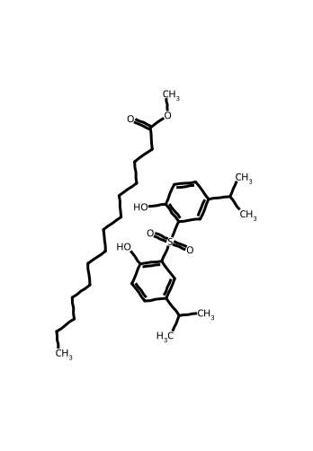 CC(C)c1ccc(O)c(S(=O)(=O)c2cc(C(C)C)ccc2O)c1.CCCCCCCCCCCCCC(=O)OC